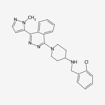 Cn1nccc1-c1nnc(N2CCC(NCc3ccccc3Cl)CC2)c2ccccc12